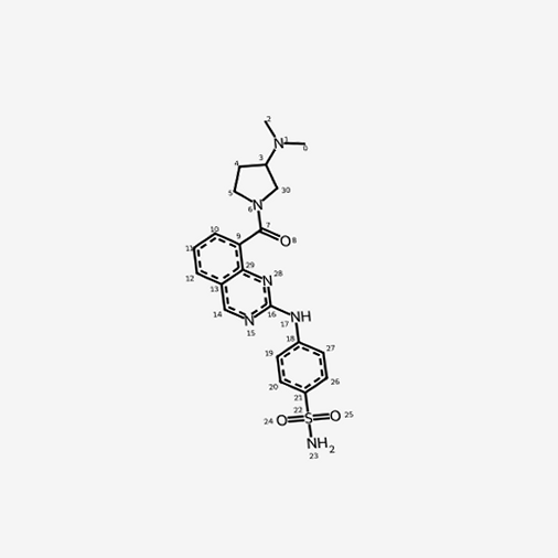 CN(C)C1CCN(C(=O)c2cccc3cnc(Nc4ccc(S(N)(=O)=O)cc4)nc23)C1